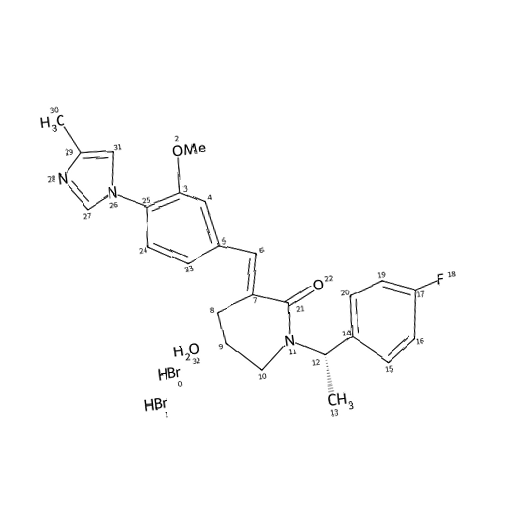 Br.Br.COc1cc(/C=C2\CCCN([C@@H](C)c3ccc(F)cc3)C2=O)ccc1-n1cnc(C)c1.O